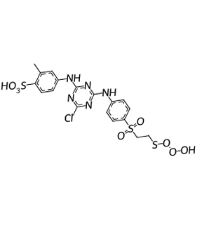 Cc1cc(Nc2nc(Cl)nc(Nc3ccc(S(=O)(=O)CCSOOO)cc3)n2)ccc1S(=O)(=O)O